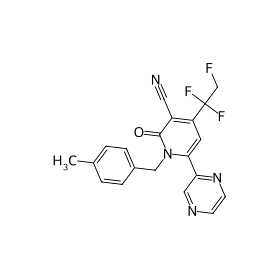 Cc1ccc(Cn2c(-c3cnccn3)cc(C(F)(F)CF)c(C#N)c2=O)cc1